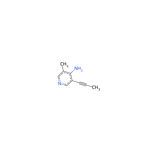 CC#Cc1cncc(C)c1N